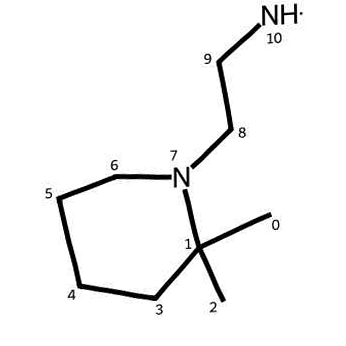 CC1(C)CCCCN1CC[NH]